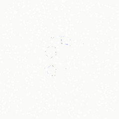 CCCc1cc(C(=O)O)n2c1-c1cc(-c3nnn(C)n3)c(OC)cc1CC2